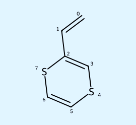 C=CC1=CSC=CS1